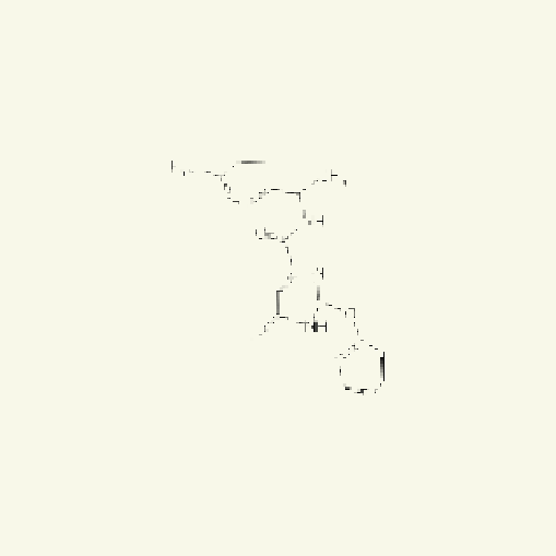 CC(NC(=O)c1cc(=O)[nH]c(Oc2ccccc2)n1)c1ccc(C(F)(F)F)cc1